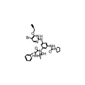 C#CCOc1nc(Nc2cc(NC(=O)[C@@H](Cc3ccccc3)NB(C)O)cc(NC(=O)N3CCCC3)c2)ncc1Br